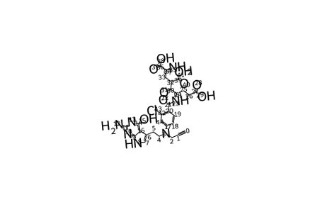 C#CCN(CCc1c[nH]c2nc(N)nc(O)c12)c1ccc(C(=O)N[C@@H](CCC(=O)O)C(=O)C(C[C@H](N)C(=O)O)C(=O)O)c(Cl)c1